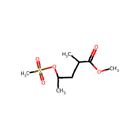 COC(=O)C(C)CC(C)OS(C)(=O)=O